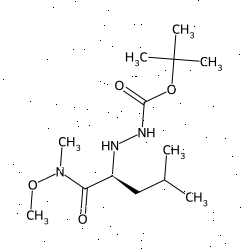 CON(C)C(=O)[C@H](CC(C)C)NNC(=O)OC(C)(C)C